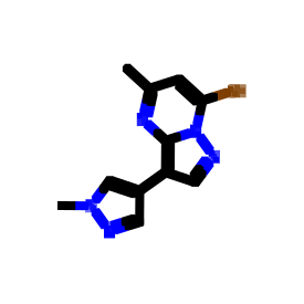 Cc1cc(S)n2ncc(-c3cnn(C)c3)c2n1